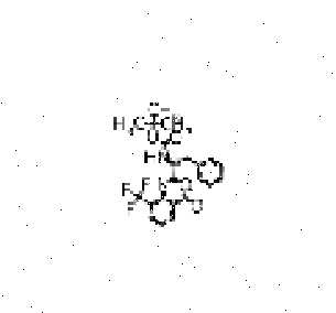 CC(C)(C)OC(=O)N[C@@H](Cc1ccccc1)c1nc2c(C(F)(F)F)cccc2c(=O)o1